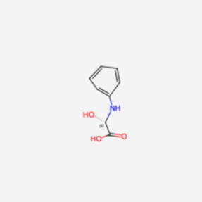 O=C(O)[C@H](O)Nc1ccccc1